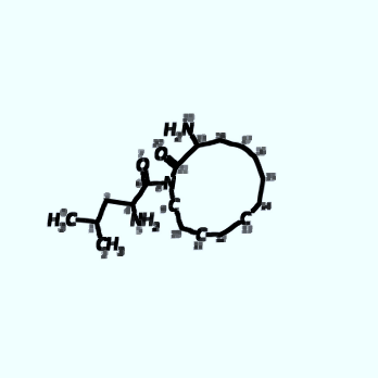 CC(C)CC(N)C(=O)N1CCCCCCCCCCC(N)C1=O